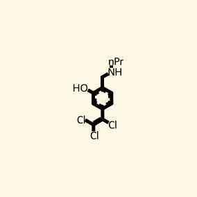 CCCNCc1ccc(C(Cl)=C(Cl)Cl)cc1O